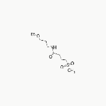 CCOCCCNC(=O)CCCS(C)(=O)=O